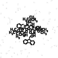 C[C@@H](OC(C)(C)C)[C@H](NC(=O)[C@H](Cc1ccccc1)NC(=O)[C@H](COC(C)(C)C)NC(=O)[C@@H](NC(=O)OCC1c2ccccc2-c2ccccc21)[C@@H](C)OC(C)(C)C)C(=O)O